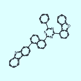 c1ccc(-c2nc(-c3cccc4c(-c5ccc6c(c5)sc5ccccc56)cccc34)nc(-c3cccc4oc5ccccc5c34)n2)cc1